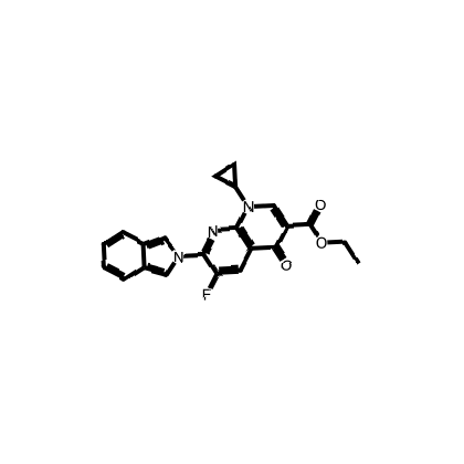 CCOC(=O)c1cn(C2CC2)c2nc(-n3cc4ccccc4c3)c(F)cc2c1=O